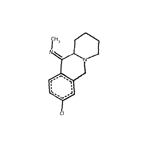 CN=C1c2ccc(Cl)cc2CN2CCCCC12